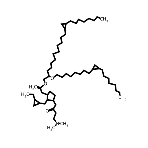 C=C(CC1CCC(CC(=O)CCN(C)C)C1CC1CC1CC)OCC(CCCCCCCCCCC1CC1CCCCCCCC)OCCCCCCCCC1CC1CCCCCCCC